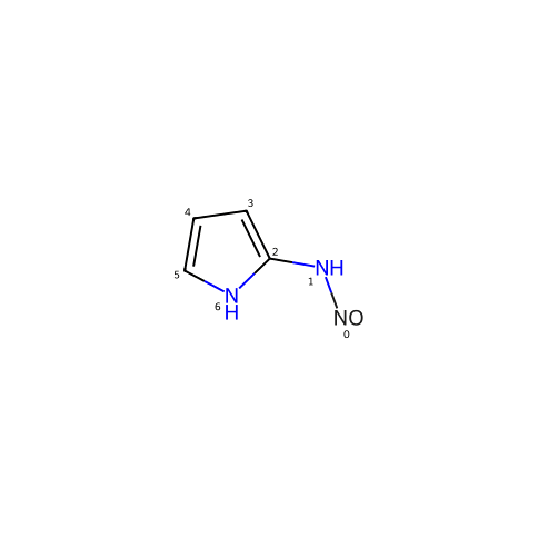 O=NNc1ccc[nH]1